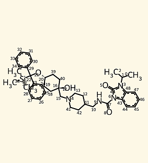 CC(C)n1c(=O)n(C(=O)NCC2CCN(C[C@]3(O)CC[C@H](OC(c4ccccc4)(c4ccccc4)[Si](C)(C)C)CC3)CC2)c2ccccc21